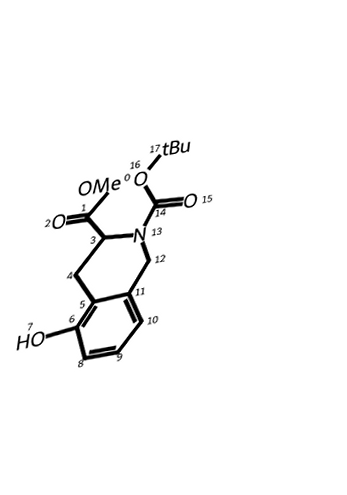 COC(=O)C1Cc2c(O)cccc2CN1C(=O)OC(C)(C)C